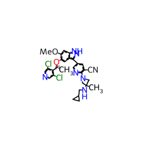 COc1cc2[nH]nc(-c3cnc(N4CC(C)(NCC5CC5)C4)c(C#N)c3)c2cc1O[C@H](C)c1c(Cl)cncc1Cl